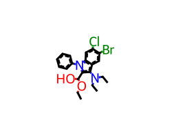 CCOC(O)c1c(N(CC)CC)c2cc(Br)c(Cl)cc2n1-c1ccccc1